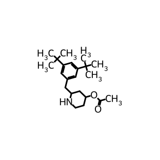 CC(=O)OC1CCNC(Cc2cc(C(C)(C)C)cc(C(C)(C)C)c2)C1